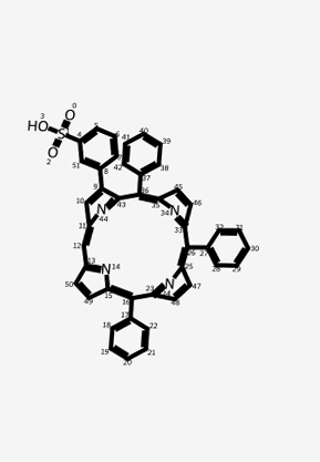 O=S(=O)(O)c1cccc(C2=CC3=CC4=NC(=C(c5ccccc5)C5=NC(=C(c6ccccc6)C6=NC(=C(c7ccccc7)C2=N3)C=C6)C=C5)C=C4)c1